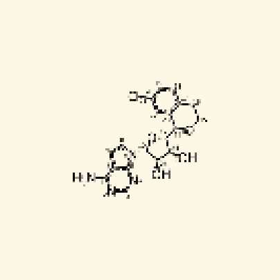 Nc1ncnc2c1ccn2[C@@H]1O[C@H]([C@@H]2OCCc3ccc(Cl)cc32)[C@@H](O)[C@H]1O